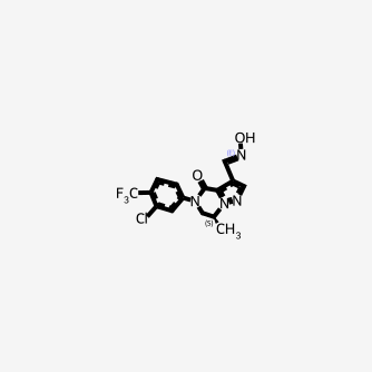 C[C@H]1CN(c2ccc(C(F)(F)F)c(Cl)c2)C(=O)c2c(/C=N/O)cnn21